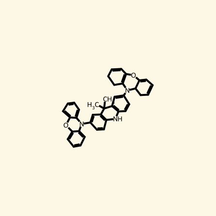 CC1(C)c2cc(N3c4ccccc4Oc4ccccc43)ccc2Nc2ccc(N3C4=C(C=CCC4)OC4=CC=CCC43)cc21